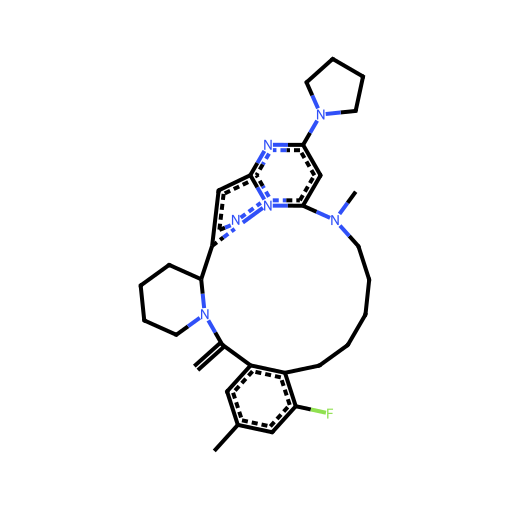 C=C1c2cc(C)cc(F)c2CCCCCN(C)c2cc(N3CCCC3)nc3cc(nn23)C2CCCCN12